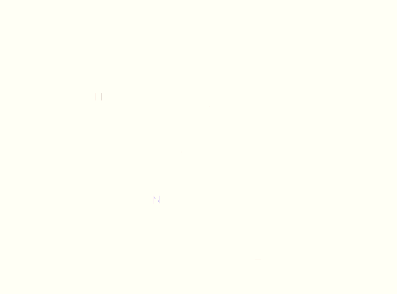 [2H]c1cc2c(c([2H])c1C)c1c([2H])c(C(F)(F)F)c([2H])cc1n2C